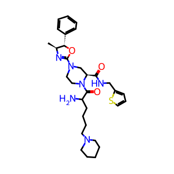 C[C@@H]1N=C(N2CCN(C(=O)C(N)CCCCN3CCCCC3)[C@H](C(=O)NCc3cccs3)C2)O[C@H]1c1ccccc1